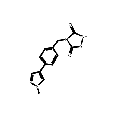 Cn1cc(-c2ccc(Cn3c(=O)[nH]sc3=O)cc2)cn1